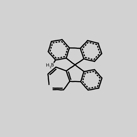 Bc1cccc2c1C1(C(/C=C\C)=C(C=C)c3ccccc31)c1ccccc1-2